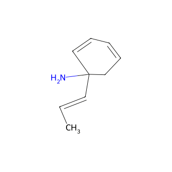 CC=CC1(N)C=CC=CC1